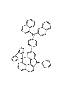 c1ccc(-n2c3cc(-c4ccc(N(c5ccc6ccccc6c5)c5cccc6ccccc56)cc4)cc4c3c3c5c(cccc5ccc32)C42c3ccccc3-c3ccccc32)cc1